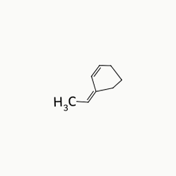 C/C=C1\C=CCCC1